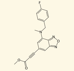 COC(=O)C#Cc1cc(N(C)Cc2ccc(F)cc2)c2nonc2c1